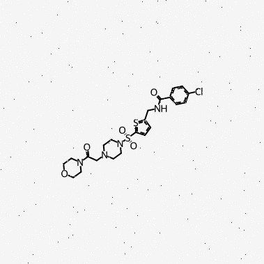 O=C(NCc1ccc(S(=O)(=O)N2CCN(CC(=O)N3CCOCC3)CC2)s1)c1ccc(Cl)cc1